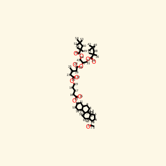 CC(=O)[C@H]1CCC2[C@@H]3CCC4C[C@@H](OC(=O)CCCCOC(=O)CC(C)CC(=O)OC(COC(=O)C(C)(C)CC(C)(C)C)COC(=O)C(C)(C)CC(C)(C)C)CC[C@]4(C)C3CC[C@@]21C